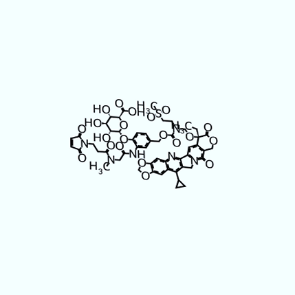 CC[C@@]1(OCN(CCS(C)(=O)=O)C(=O)OCc2ccc(O[C@@H]3O[C@H](C(=O)O)[C@@H](O)[C@H](O)[C@H]3O)c(NC(=O)CN(C)C(=O)CCN3C(=O)C=CC3=O)c2)C(=O)OCc2c1cc1n(c2=O)Cc2c-1nc1cc3c(cc1c2C1CC1)OCO3